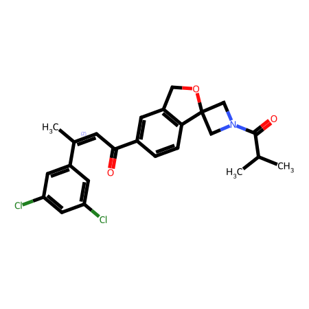 C/C(=C/C(=O)c1ccc2c(c1)COC21CN(C(=O)C(C)C)C1)c1cc(Cl)cc(Cl)c1